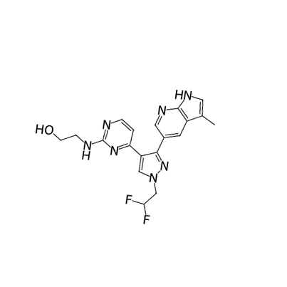 Cc1c[nH]c2ncc(-c3nn(CC(F)F)cc3-c3ccnc(NCCO)n3)cc12